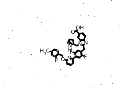 Cc1ccc(COc2cccc(-c3cc(F)c(Cc4nc5ccc(C(=O)O)cc5n4CC45CC(CN4)C5)cc3F)n2)c(F)c1